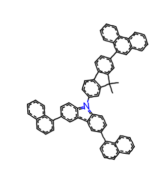 CC1(C)c2cc(-c3cc4ccccc4c4ccccc34)ccc2-c2ccc(-n3c4ccc(-c5cccc6ccccc56)cc4c4cc(-c5cccc6ccccc56)ccc43)cc21